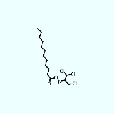 CCCCCCCCCCCC(=O)ON=C(CCl)C(Cl)Cl